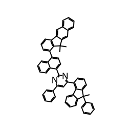 CC1(C)c2cc3ccccc3cc2-c2cccc(-c3ccc(-c4nc(-c5ccccc5)cc(-c5cccc6c5-c5ccccc5C6(C)c5ccccc5)n4)c4ccccc34)c21